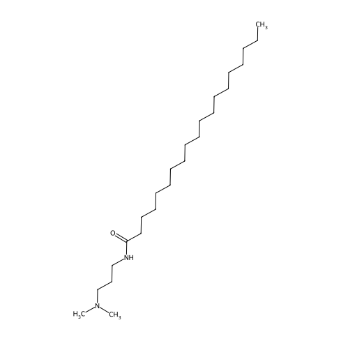 CCCCCCCCCCCCCCCCCCC(=O)NCCCN(C)C